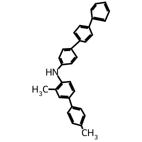 Cc1ccc(-c2ccc(Nc3ccc(-c4ccc(-c5ccccc5)cc4)cc3)c(C)c2)cc1